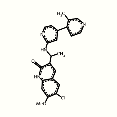 COc1cc2[nH]c(=O)c(C(C)Nc3cc(-c4ccncc4C)ccn3)cc2cc1Cl